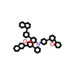 c1cc(-c2ccc(N(c3ccc(-c4cccc5c4oc4ccccc45)cc3)c3ccccc3-c3ccc4oc5cc6ccccc6cc5c4c3)cc2)cc(-c2cccc3ccccc23)c1